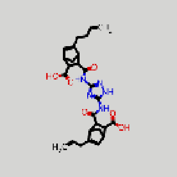 C=CCCC1=CC2CC1C(C(=O)Nc1n[nH]c(NC(=O)C3C4CC(C=C4CC=C)C3C(=O)O)n1)C2C(=O)O